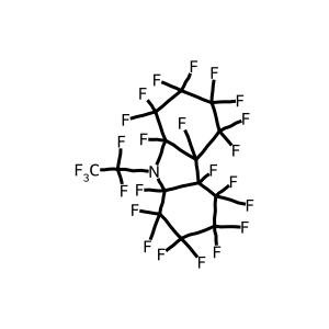 FC(F)(F)C(F)(F)N1C2(F)C(F)(F)C(F)(F)C(F)(F)C(F)(F)C2(F)C2(F)C(F)(F)C(F)(F)C(F)(F)C(F)(F)C12F